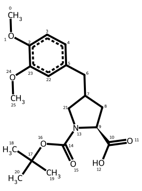 COc1ccc(CC2C[C@@H](C(=O)O)N(C(=O)OC(C)(C)C)C2)cc1OC